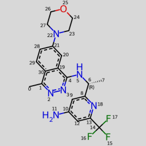 Cc1nnc(N[C@H](C)c2cc(N)cc(C(F)(F)F)n2)c2cc(N3CCOCC3)ccc12